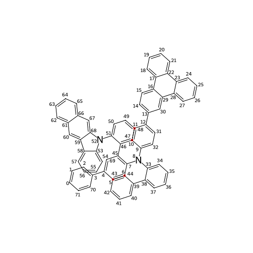 c1ccc(-c2ccc(N(c3ccc(-c4ccc5c6ccccc6c6ccccc6c5c4)cc3)c3ccccc3-c3ccccc3)c(-c3ccccc3-n3c4ccccc4c4cc5ccccc5cc43)c2)cc1